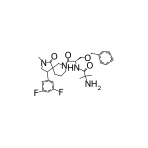 CN1CC(c2cc(F)cc(F)c2)C2(CCCN(C(=O)[C@@H](COCc3ccccc3)NC(=O)C(C)(C)N)C2)C1=O